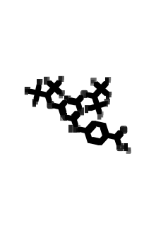 CC(=O)c1ccc(Nc2nc(OC(C(F)(F)F)C(F)(F)F)nc(OC(C(F)(F)F)C(F)(F)F)n2)cc1